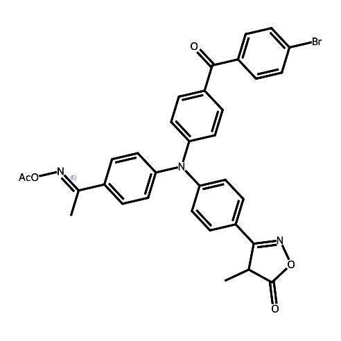 CC(=O)O/N=C(\C)c1ccc(N(c2ccc(C(=O)c3ccc(Br)cc3)cc2)c2ccc(C3=NOC(=O)C3C)cc2)cc1